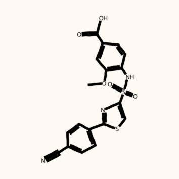 COc1cc(C(=O)O)ccc1NS(=O)(=O)c1csc(-c2ccc(C#N)cc2)n1